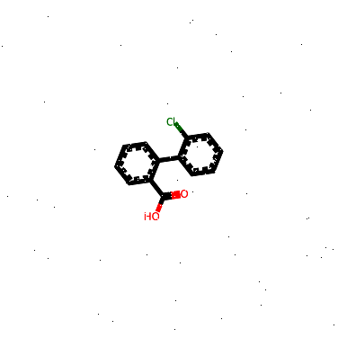 O=C(O)c1[c]cccc1-c1ccccc1Cl